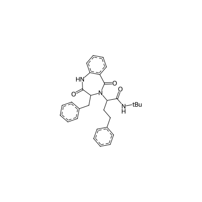 CC(C)(C)NC(=O)C(CCc1ccccc1)N1C(=O)c2ccccc2NC(=O)C1Cc1ccccc1